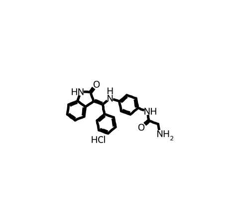 Cl.NCC(=O)Nc1ccc(N/C(=C2\C(=O)Nc3ccccc32)c2ccccc2)cc1